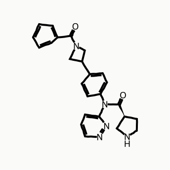 O=C(c1ccccc1)N1CC(c2ccc(N(C(=O)[C@H]3CCNC3)c3cccnn3)cc2)C1